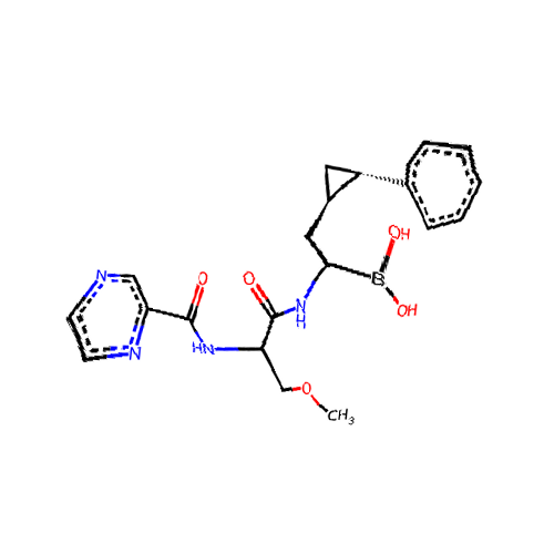 COCC(NC(=O)c1cnccn1)C(=O)NC(C[C@H]1C[C@@H]1c1ccccc1)B(O)O